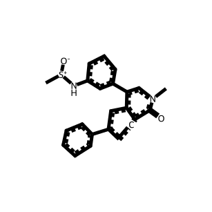 Cn1cc(-c2cccc(N[S+](C)[O-])c2)c2cc(-c3ccccc3)ccc2c1=O